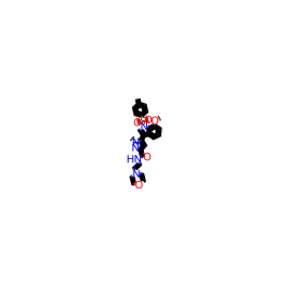 COc1cccc2c(-c3cc(C(=O)NCCN4CCOCC4)nn3C)cn(S(=O)(=O)c3ccc(C)cc3)c12